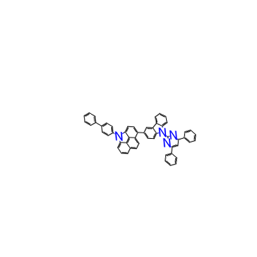 c1ccc(-c2ccc(-n3c4cccc5ccc6c(-c7ccc8c(c7)c7ccccc7n8-c7nc(-c8ccccc8)cc(-c8ccccc8)n7)ccc3c6c54)cc2)cc1